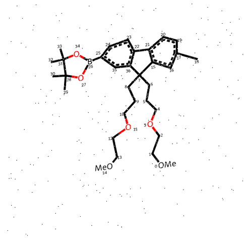 COCCOCCCC1(CCCOCCOC)c2cc(C)ccc2-c2ccc(B3OC(C)(C)C(C)(C)O3)cc21